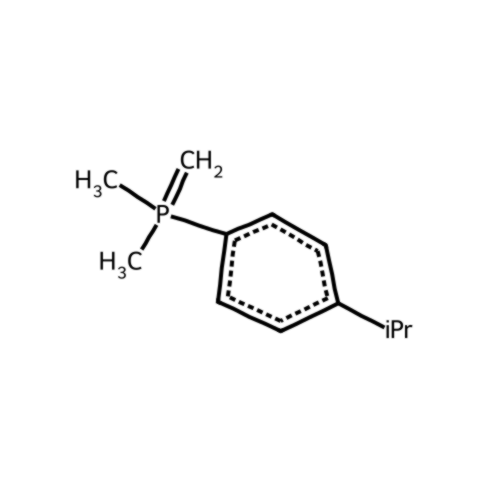 C=P(C)(C)c1ccc(C(C)C)cc1